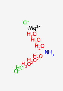 Cl.N.O.O.O.O.O.O.[Cl-].[Cl-].[Mg+2]